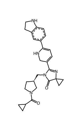 O=C(C1CC1)N1CC[C@@H](CN2C(=O)C3(CC3)N=C2C2=CC=C(c3ccc4c(c3)CCN4)NC2)C1